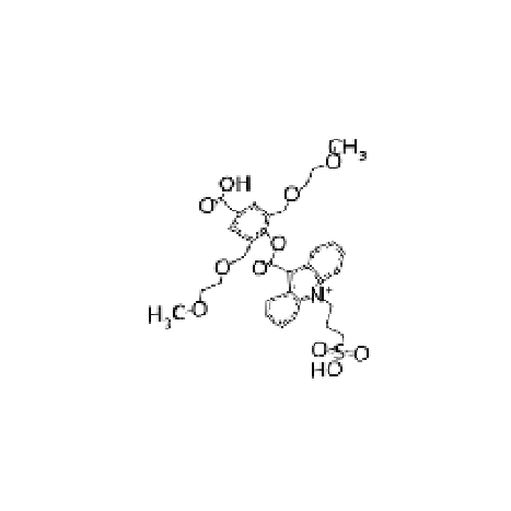 COCCOCc1cc(C(=O)O)cc(COCCOC)c1OC(=O)c1c2ccccc2[n+](CCCS(=O)(=O)O)c2ccccc12